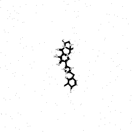 CC1C(F)=C(Cc2nnc(-c3cn4c(c(O)c3=O)C(=O)N3[C@@H](C)COC3(C)C4)s2)C=CC1F